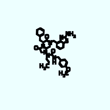 CCCN(C(=O)NCc1ccc(OC)cc1)N1CC(=O)N2C1CN(Cc1cccc3sc(N)nc13)C(=O)[C@@H]2Cc1ccccc1